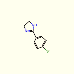 Brc1ccc(C2=NCCN2)cc1